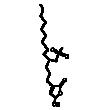 CCCCCCCCCC(CCCC1=CC(O)OC1=O)CS(C)(=O)=O